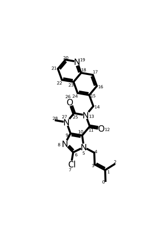 CC(C)=CCn1c(Cl)nc2c1c(=O)n(Cc1ccc3ncccc3c1)c(=O)n2C